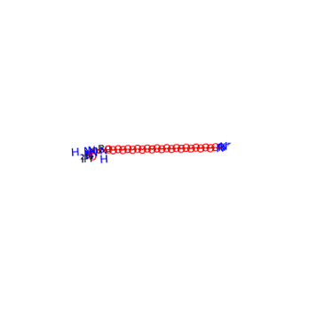 CCCCc1nc2c(N)nnc(OC(C)C)c2n1C[C@H]1CC[C@H](CNCCOCCOCCOCCOCCOCCOCCOCCOCCOCCOCCOCCOCCOCCOCCOCCOCCOCCOCCOCCOCCOCCOCCOCCN=[N+]=[N-])CC1